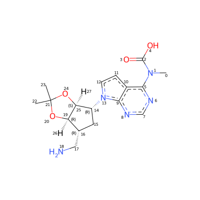 CN(C(=O)O)c1ncnc2c1ccn2[C@@H]1C[C@H](CN)[C@H]2OC(C)(C)O[C@H]21